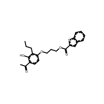 CCCc1c(OCCCOC(=O)c2cc3ccccc3s2)ccc(C(C)=O)c1O